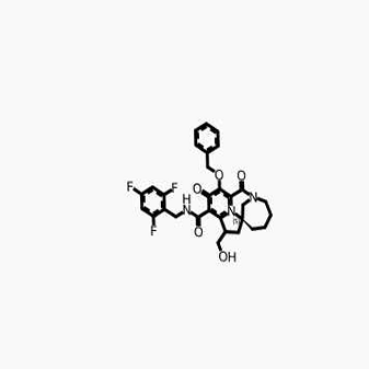 O=C(NCc1c(F)cc(F)cc1F)c1c2n3c(c(OCc4ccccc4)c1=O)C(=O)N1CCCC[C@]3(CC2CO)C1